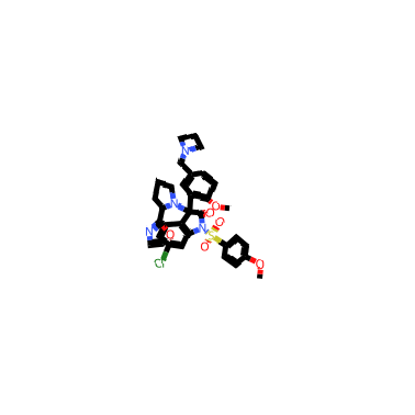 COc1ccc(S(=O)(=O)N2C(=O)C(c3cc(CN4CCC4)ccc3OC)(N3CCCC3c3ncco3)c3ccc(Cl)cc32)cc1